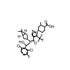 CC1CC(n2ncc(C(=O)N(CC(O)c3c(Cl)ccc(F)c3Cl)[C@H]3C[C@@H]4[C@H](C3)C4(C)C)c2C(F)(F)F)CCC1C(=O)O